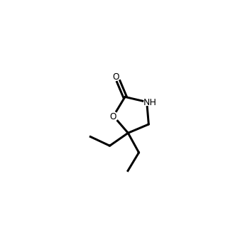 CCC1(CC)CNC(=O)O1